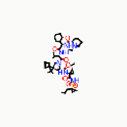 CCCC1(S(=O)(=O)NC(=O)[C@@]2(NC(=O)[C@@H]3C[C@@]4(CN3C(=O)[C@@H](NC(=O)[C@@H](NC(=O)[C@@H]3CCCCN3CC)C3CCCCC3)C(C)C)C(C)(C)C43CCC3)C[C@H]2CC)CC1